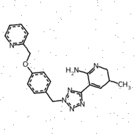 CC1C=C(c2nnn(Cc3ccc(OCc4ccccn4)cc3)n2)C(N)=NC1